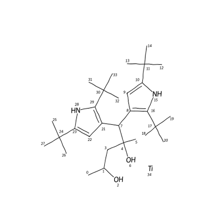 CC(O)CC(C)(O)C(c1cc(C(C)(C)C)[nH]c1C(C)(C)C)c1cc(C(C)(C)C)[nH]c1C(C)(C)C.[Ti]